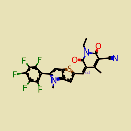 CCN1C(=O)C(C#N)=C(C)/C(=C/c2cc3c(cc(-c4c(F)c(F)c(F)c(F)c4F)n3C)s2)C1=O